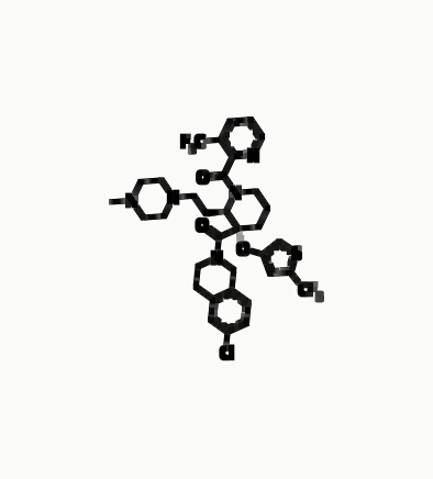 CN1CCN(CC[C@H]2N(C(=O)c3ncccc3C(F)(F)F)CCC[C@@]2(Oc2csc(C(F)(F)F)c2)C(=O)N2CCc3cc(Cl)ccc3C2)CC1